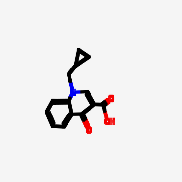 O=C(O)c1cn(CC2CC2)c2ccccc2c1=O